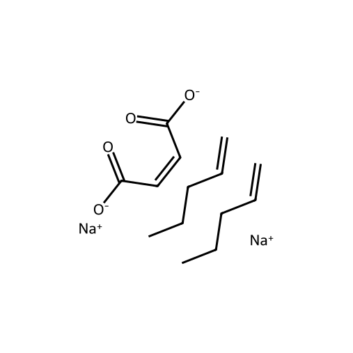 C=CCCC.C=CCCC.O=C([O-])/C=C\C(=O)[O-].[Na+].[Na+]